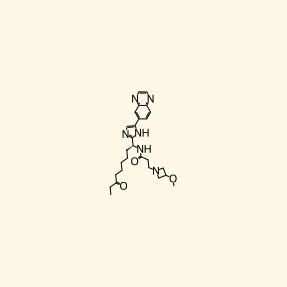 CCC(=O)CCCCC[C@H](NC(=O)CCN1CC(OC)C1)c1ncc(-c2ccc3nccnc3c2)[nH]1